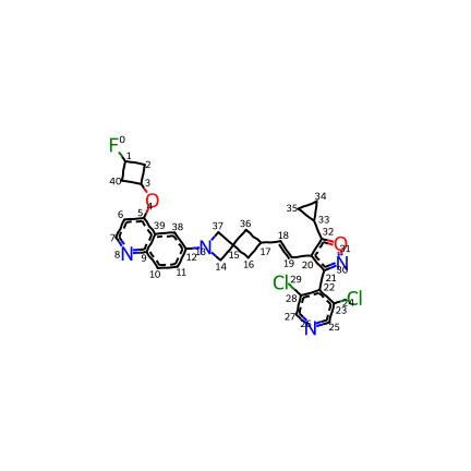 FC1CC(Oc2ccnc3ccc(N4CC5(CC(/C=C/c6c(-c7c(Cl)cncc7Cl)noc6C6CC6)C5)C4)cc23)C1